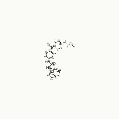 COCCN1CCN(C(=O)c2ccc(NC(=O)NC34CC5CC(CC(C5)C3)C4)cc2)CC1